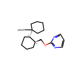 CCCCCC1([C@H]2CCCC[C@@H]2COc2ncccn2)CCCCC1